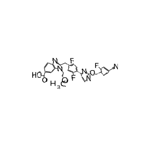 COCCn1c(Cc2cc(F)c(-c3ccnc(OCc4ccc(C#N)cc4F)n3)cc2F)nc2ccc(C(=O)O)cc21